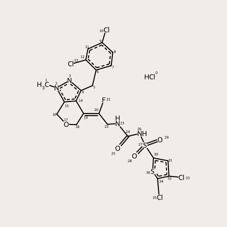 Cl.Cn1nc(Cc2ccc(Cl)cc2Cl)c2c1COC/C2=C(/F)CNC(=O)NS(=O)(=O)c1cc(Cl)c(Cl)s1